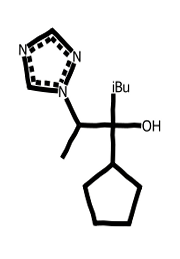 CCC(C)C(O)(C1CCCC1)C(C)n1cncn1